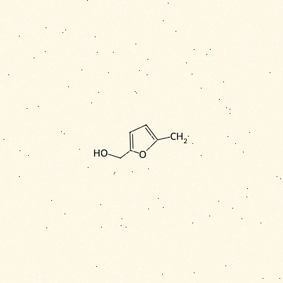 [CH2]c1ccc(CO)o1